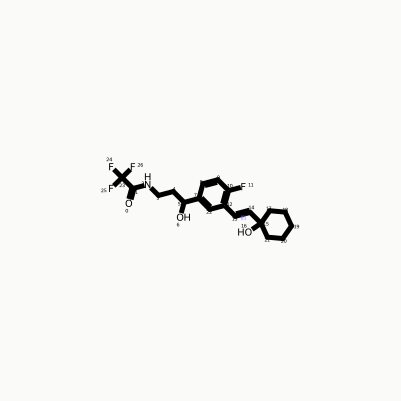 O=C(NCCC(O)c1ccc(F)c(/C=C/C2(O)CCCCC2)c1)C(F)(F)F